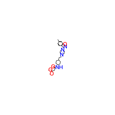 COC(CC(=O)NC1CCC(CCN2CCN(c3noc4cc(C)ccc34)CC2)CC1)OC